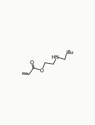 C=CC(=O)OCCNCC(C)CC